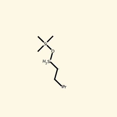 CC(C)C[CH][SiH2]O[Si](C)(C)C